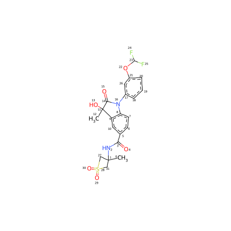 CC1(NC(=O)c2ccc3c(c2)C(C)(O)C(=O)N3c2cccc(OC(F)F)c2)CS(=O)(=O)C1